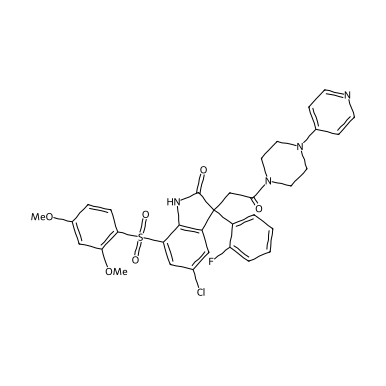 COc1ccc(S(=O)(=O)c2cc(Cl)cc3c2NC(=O)C3(CC(=O)N2CCN(c3ccncc3)CC2)c2ccccc2F)c(OC)c1